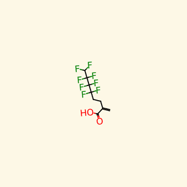 C=C(CCC(F)(F)C(F)(F)C(F)(F)C(F)F)C(=O)O